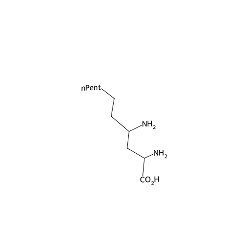 CCCCCCCC(N)CC(N)C(=O)O